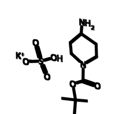 CC(C)(C)OC(=O)N1CCC(N)CC1.O=S(=O)([O-])O.[K+]